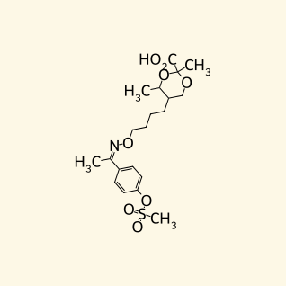 CC(=NOCCCCC1COC(C)(C(=O)O)OC1C)c1ccc(OS(C)(=O)=O)cc1